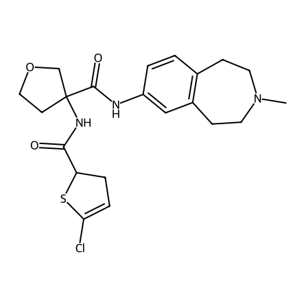 CN1CCc2ccc(NC(=O)C3(NC(=O)C4CC=C(Cl)S4)CCOC3)cc2CC1